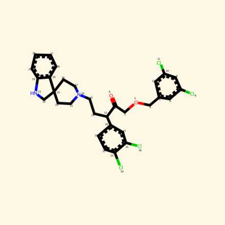 O=C(COCc1cc(Cl)cc(Cl)c1)C(CCN1CCC2(CC1)CNc1ccccc12)c1ccc(Cl)c(Cl)c1